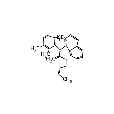 C=C(/C=C\C=C/C)B(c1c(C)ccc(C)c1C)c1c(C)ccc2ccccc12